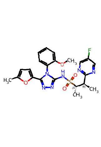 COc1ccccc1-n1c(NS(=O)(=O)[C@@H](C)[C@H](C)c2ncc(F)cn2)nnc1-c1ccc(C)o1